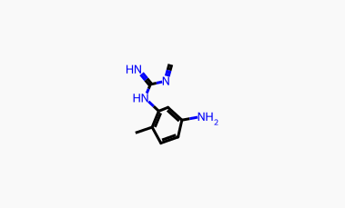 C=NC(=N)Nc1cc(N)ccc1C